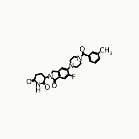 Cc1cccc(C(=O)N2CCN(c3cc4c(cc3F)C(=O)N(C3CCC(=O)NC3=O)C4)CC2)c1